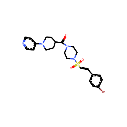 O=C(C1CCN(c2ccncc2)CC1)N1CCN(S(=O)(=O)/C=C/c2ccc(Br)cc2)CC1